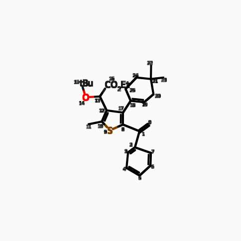 C=C(c1ccccc1)c1sc(C)c(C(OC(C)(C)C)C(=O)OCC)c1C1=CCC(C)(C)CC1